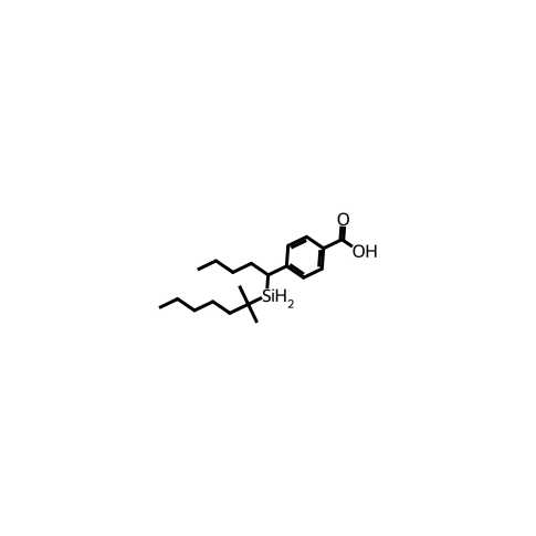 CCCCCC(C)(C)[SiH2]C(CCCC)c1ccc(C(=O)O)cc1